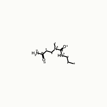 CCCNC(=O)N(C)CCC(N)=O